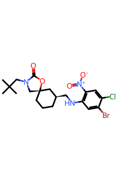 CC(C)(C)CN1C[C@@]2(CCC[C@H](CNc3cc(Br)c(Cl)cc3[N+](=O)[O-])C2)OC1=O